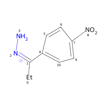 CC/C(=N/N)c1ccc([N+](=O)[O-])cc1